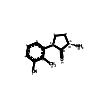 Cc1c(C#N)cccc1N1CC[C@H](N)C1=O